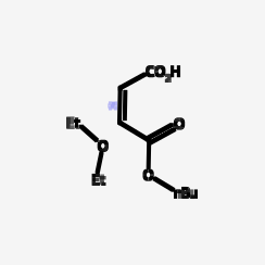 CCCCOC(=O)/C=C\C(=O)O.CCOCC